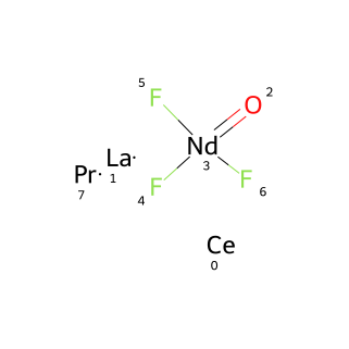 [Ce].[La].[O]=[Nd]([F])([F])[F].[Pr]